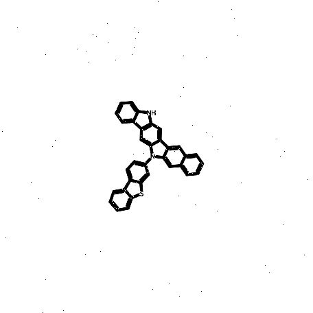 c1ccc2cc3c(cc2c1)c1cc2[nH]c4ccccc4c2cc1n3-c1ccc2c(c1)sc1ccccc12